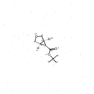 CC(C)(C)OC(=O)C1[C@H]2COC[C@@H]12